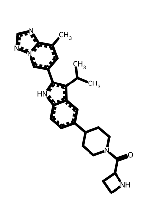 Cc1cc(-c2[nH]c3ccc(C4CCN(C(=O)C5CCN5)CC4)cc3c2C(C)C)cn2ncnc12